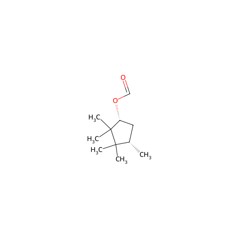 C[C@H]1C[C@@H](OC=O)C(C)(C)C1(C)C